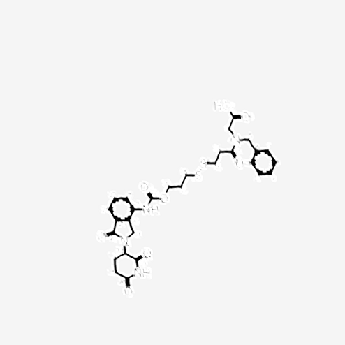 O=C(O)CN(Cc1ccccc1)C(=O)CCSSCCCOC(=O)Nc1cccc2c1CN(C1CCC(=O)NC1=O)C2=O